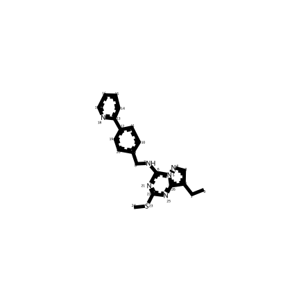 CCc1cnn2c(NCc3ccc(-c4ccccn4)cc3)nc(SC)nc12